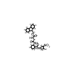 Cc1nc(NC(=O)c2ccccc2NC(=O)CNC(=O)OCC2c3ccccc3-c3ccccc32)sc1[N+](=O)[O-]